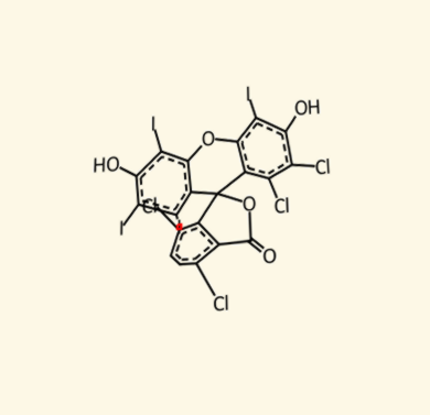 O=C1OC2(c3c(Cl)c(Cl)c(O)c(I)c3Oc3c(I)c(O)c(I)c(I)c32)c2c(Cl)ccc(Cl)c21